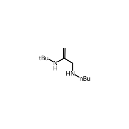 C=C(CNCCCC)NC(C)(C)C